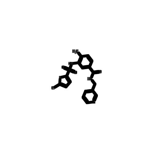 Cc1ccc(C(=O)NCc2cccnc2)cc1NS(=O)(=O)c1ccc(Cl)s1